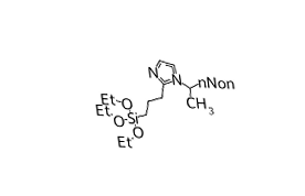 CCCCCCCCCC(C)n1ccnc1CCC[Si](OCC)(OCC)OCC